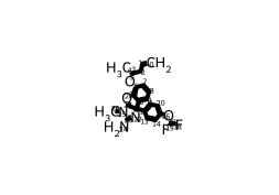 C=CCC(C)Oc1cccc(C2(c3ccc(OC(F)F)cc3)N=C(N)N(C)C2=O)c1